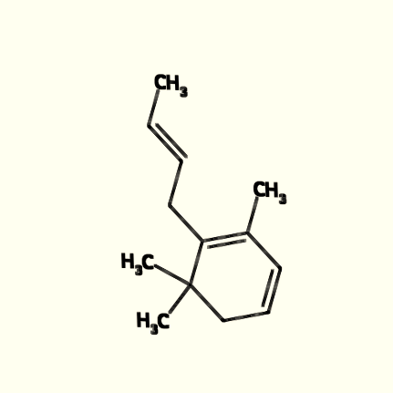 CC=CCC1=C(C)C=CCC1(C)C